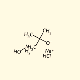 CC(C)(C)[O-].Cl.NO.[Na+]